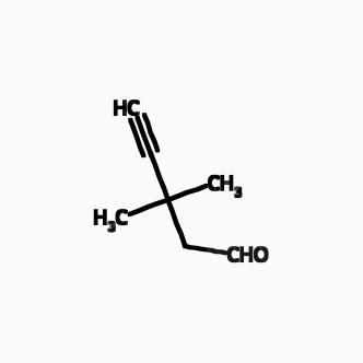 C#CC(C)(C)CC=O